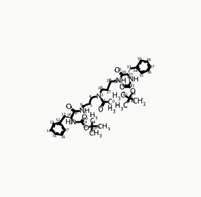 CC(=O)N(CCCNC(=O)[C@H](Cc1ccccc1)NC(=O)OC(C)(C)C)CCCNC(=O)[C@H](Cc1ccccc1)NC(=O)OC(C)(C)C